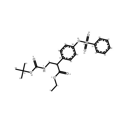 CCOC(=O)C(CNC(=O)OC(C)(C)C)c1ccc(OS(=O)(=O)c2ccccc2)cc1